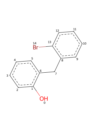 Oc1ccccc1Cc1ccccc1Br